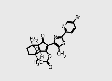 CC(=O)OC1=C(c2nc(-c3ccc(Br)cn3)sc2C)C(=O)[C@H]2[C@@H]1[C@@H]1CC[C@H]2O1